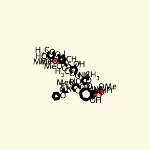 CCN(CC(=O)Oc1ccccc1)[C@H]1CO[C@@H](O[C@H]2[C@H](O[C@H]3C#CC=CC#C[C@]4(O)CC(=O)C(NC(=O)OC)=C3/C4=C\CSSC(C)C)O[C@H](C)[C@@H](NO[C@H]3C[C@H](O)[C@H](SC(=O)c4c(C)c(I)c(O[C@@H]5O[C@@H](C)[C@H](O)[C@@H](OC)[C@H]5O)c(OC)c4OC)[C@@H](C)O3)[C@@H]2O)C[C@@H]1OC